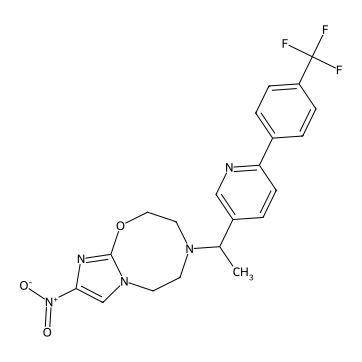 CC(c1ccc(-c2ccc(C(F)(F)F)cc2)nc1)N1CCOc2nc([N+](=O)[O-])cn2CC1